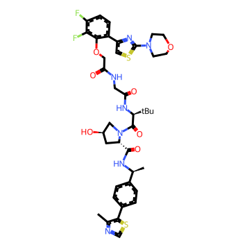 Cc1ncsc1-c1ccc([C@H](C)NC(=O)[C@@H]2C[C@@H](O)CN2C(=O)[C@@H](NC(=O)CNC(=O)COc2c(-c3csc(N4CCOCC4)n3)ccc(F)c2F)C(C)(C)C)cc1